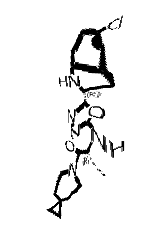 C[C@@H](Nc1nnc([C@H]2Cc3cc(Cl)ccc3N2)o1)C(=O)N1CCC2(CC1)CC2